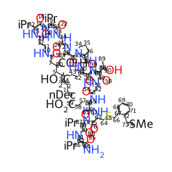 CCCCCCCCCCCCCCCCCC(=O)NCCC(=O)NC(C(=O)N[C@H](C(=O)NCC(=O)N[C@@H](CC(=O)O)C(=O)N1CCC[C@H]1C(=O)N[C@@H](CCC(=O)O)C(=O)N[C@H](C(=O)NCC(=O)N[C@@H](CCC(=O)O)C(=O)NC(CSCc1ccccc1CSC)C(=O)N[C@H](C(=O)N[C@H](C(N)=O)C(C)C)C(C)C)[C@@H](C)O)C(C)C)C(C)C